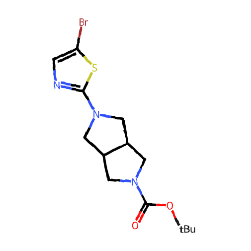 CC(C)(C)OC(=O)N1CC2CN(c3ncc(Br)s3)CC2C1